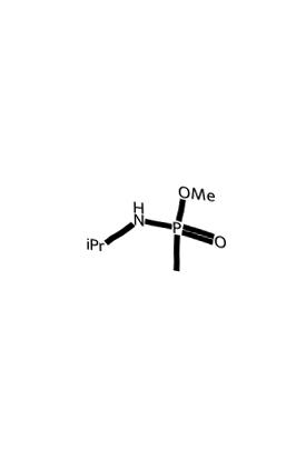 COP(C)(=O)NC(C)C